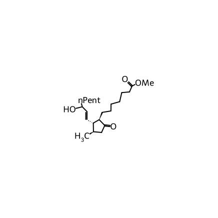 CCCCCC(O)/C=C/[C@H]1[C@H](C)CC(=O)[C@@H]1CCCCCCC(=O)OC